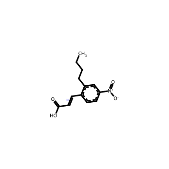 CCCCc1cc([N+](=O)[O-])ccc1/C=C/C(=O)O